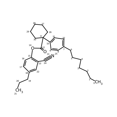 CCCCCCCc1ccc(C2(C(=O)Oc3ccc(CCC)cc3C#N)CCCCC2)cc1